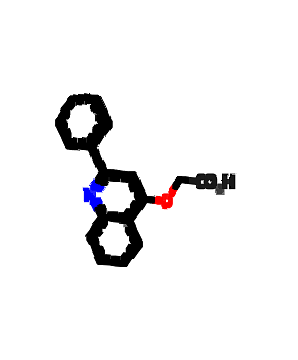 O=C(O)COc1cc(-c2ccccc2)nc2ccccc12